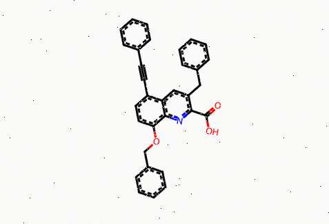 O=C(O)c1nc2c(OCc3ccccc3)ccc(C#Cc3ccccc3)c2cc1Cc1ccccc1